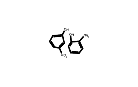 Nc1ccccc1O.O=[N+]([O-])c1cccc(O)c1